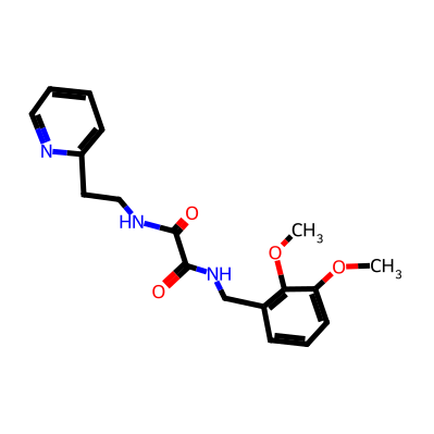 COc1cccc(CNC(=O)C(=O)NCCc2ccccn2)c1OC